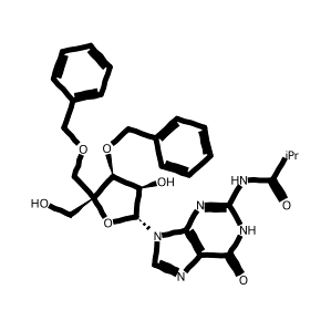 CC(C)C(=O)Nc1nc2c(ncn2[C@@H]2O[C@](CO)(COCc3ccccc3)[C@@H](OCc3ccccc3)[C@H]2O)c(=O)[nH]1